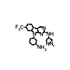 Cn1cc(Nc2ncc3c4ccc(C(F)(F)F)cc4n(-c4cccc(N)c4)c3n2)cn1